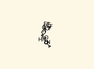 O=C(Nc1ccc(C2CC2)nc1)[C@@H]1CC12CCN(C(=O)OC(C(F)(F)F)C(F)(F)F)CC2